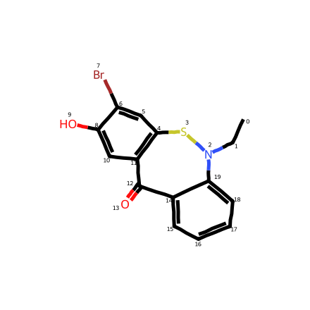 CCN1Sc2cc(Br)c(O)cc2C(=O)c2ccccc21